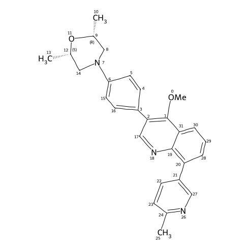 COc1c(-c2ccc(N3C[C@@H](C)O[C@@H](C)C3)cc2)cnc2c(-c3ccc(C)nc3)cccc12